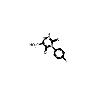 O=C(O)c1n[nH]c(=S)n(-c2ccc(F)cc2)c1=O